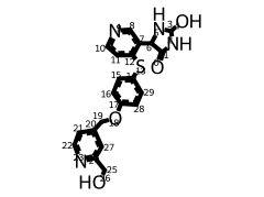 O=C1NC(O)NC1c1cnccc1Sc1ccc(OCc2ccnc(CO)c2)cc1